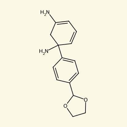 NC1=CC=CC(N)(c2ccc(C3OCCO3)cc2)C1